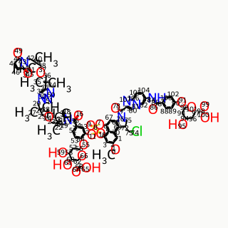 COc1ccc2c(OS(=O)(=O)Oc3cc(C(=O)N(C)CC(C)(C)COCC(C)(C)Cn4cc(C(C)(C)COCC(C)(C)CN5C(=O)C=CC5=O)nn4)ccc3O[C@H]3C[C@@H](O)[C@H](O)[C@@H](C(=O)O)O3)cc3c(c2c1)[C@H](CCl)CN3C(=O)c1cn2cc(NC(=O)c3ccc(O[C@H]4C[C@@H](O)C[C@@H](C(=O)O)O4)cc3)ccc2n1